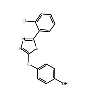 Oc1ccc(Oc2nnc(-c3ccccc3Cl)s2)cc1